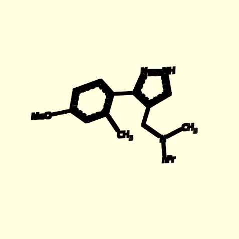 CCCN(C)Cc1c[nH]nc1-c1ccc(OC)cc1C